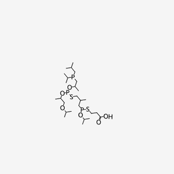 CC(C)CP(CC(C)OP(OC(C)COC(C)C)SCC(C)CP(OC(C)C)SCCC(=O)O)C(C)C